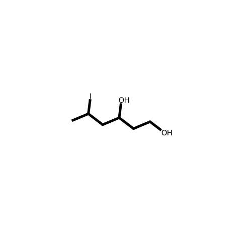 CC(I)CC(O)CCO